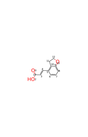 O=C(O)C=Cc1cccc2c1CCO2